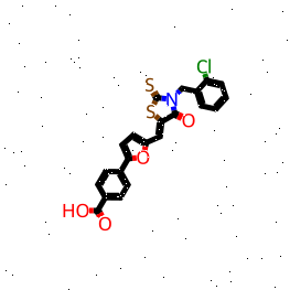 O=C(O)c1ccc(-c2ccc(/C=C3\SC(=S)N(Cc4ccccc4Cl)C3=O)o2)cc1